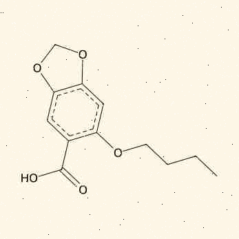 CCCCOc1cc2c(cc1C(=O)O)OCO2